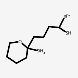 CCCC(S)CCCC1([SiH3])CCCCO1